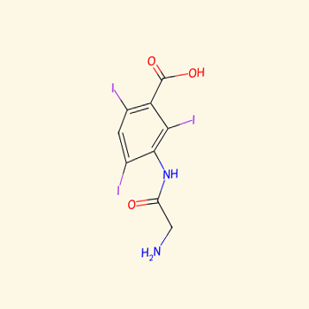 NCC(=O)Nc1c(I)cc(I)c(C(=O)O)c1I